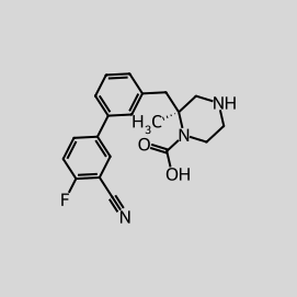 C[C@]1(Cc2cccc(-c3ccc(F)c(C#N)c3)c2)CNCCN1C(=O)O